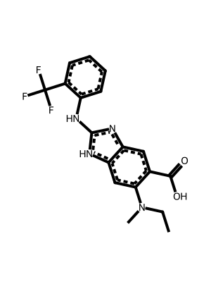 CCN(C)c1cc2[nH]c(Nc3ccccc3C(F)(F)F)nc2cc1C(=O)O